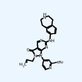 C=CCn1c(=O)c2cnc(Nc3ccc4c(c3)CCNCC4)nc2n1-c1ccnc(C(C)(C)C)c1